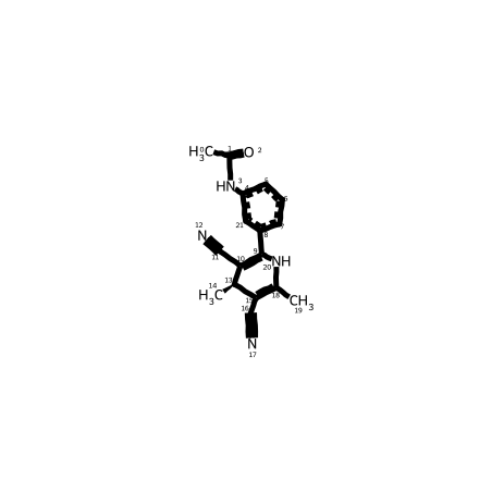 CC(=O)Nc1cccc(C2=C(C#N)[C@H](C)C(C#N)=C(C)N2)c1